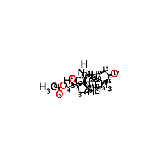 CC(=O)OCC(=O)[C@H]1CC[C@H]2[C@@H]3CCC4=CC(=O)CC[C@]4(C)[C@H]3CC[C@]12C.[NaH]